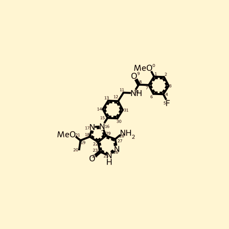 COc1ccc(F)cc1C(=O)NCc1ccc(-n2nc(C(C)OC)c3c(=O)[nH]nc(N)c32)cc1